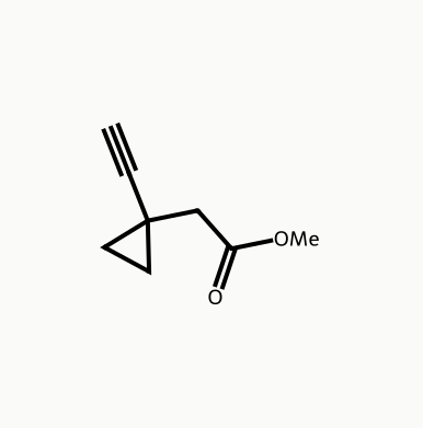 C#CC1(CC(=O)OC)CC1